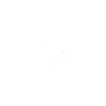 CC(C)NCC(O)COc1nccnc1N1CCN(C)CC1